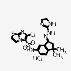 CC1(C)CC(=NNC2=NCCN2)c2cc(NS(=O)(=O)c3c(Cl)nc4sccn34)ccc21.Cl